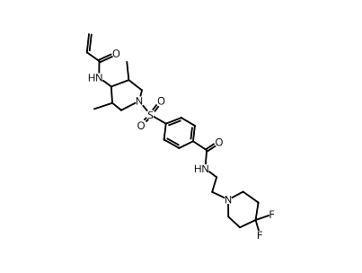 C=CC(=O)NC1C(C)CN(S(=O)(=O)c2ccc(C(=O)NCCN3CCC(F)(F)CC3)cc2)CC1C